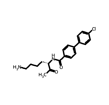 CC(=O)[C@H](CCCCN)NC(=O)c1ccc(-c2ccc(Cl)cc2)cc1